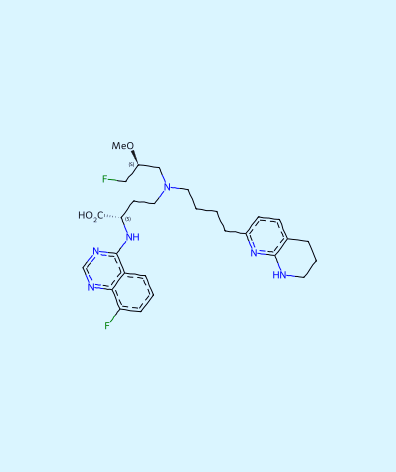 CO[C@H](CF)CN(CCCCc1ccc2c(n1)NCCC2)CC[C@H](Nc1ncnc2c(F)cccc12)C(=O)O